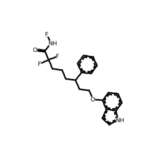 O=C(NF)C(F)(F)CCCC(CCOc1cccc2[nH]ccc12)c1ccccc1